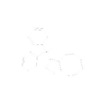 CCC(c1ccccc1)(c1ccccc1)c1nnc2n1CCCCCC2